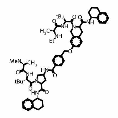 CCN[C@@H](C)C(=O)NC(C(=O)N1Cc2cc(OCc3ccc(C(=O)NC4CC(C(=O)N[C@@H]5CCCc6ccccc65)N(C(=O)[C@@H](NC(=O)[C@H](C)NC)C(C)(C)C)C4)cc3)ccc2CC1C(=O)NC1CCCc2ccccc21)C(C)(C)C